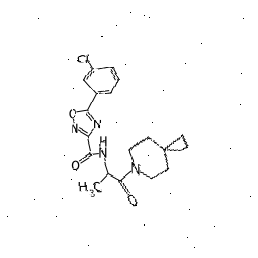 CC(NC(=O)c1noc(-c2cccc(Cl)c2)n1)C(=O)N1CCC2(CC1)CC2